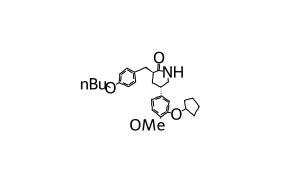 CCCCOc1ccc(C[C@@H]2C[C@@H](c3ccc(OC)c(OC4CCCC4)c3)CNC2=O)cc1